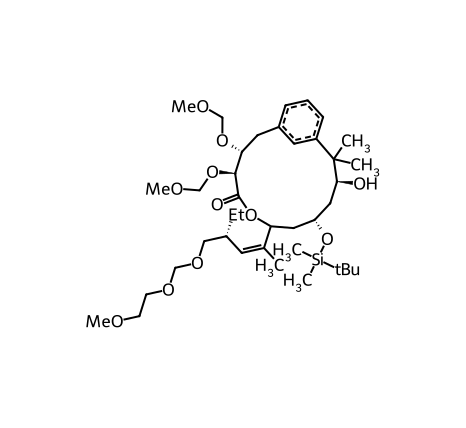 CC[C@H](/C=C(/C)C1C[C@@H](O[Si](C)(C)C(C)(C)C)C[C@H](O)C(C)(C)c2cccc(c2)C[C@@H](OCOC)[C@H](OCOC)C(=O)O1)COCOCCOC